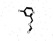 O=[C]OCc1cc(F)ccn1